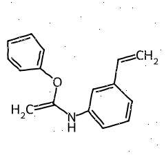 C=Cc1cccc(NC(=C)Oc2ccccc2)c1